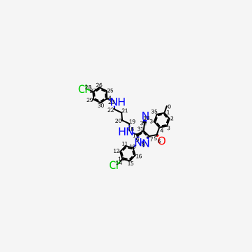 Cc1ccc(C(=O)c2nn(-c3ccc(Cl)cc3)c(NCCCCNc3ccc(Cl)cc3)c2C#N)cc1